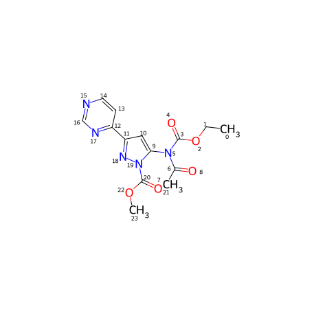 CCOC(=O)N(C(C)=O)c1cc(-c2ccncn2)nn1C(=O)OC